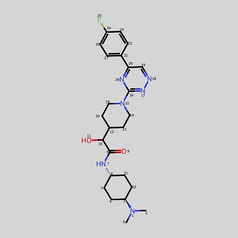 CN(C)[C@H]1CC[C@H](NC(=O)C(O)C2CCN(c3nncc(-c4ccc(F)cc4)n3)CC2)CC1